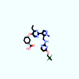 CCc1nc(-c2cnn(C)c2CNc2nccc(OCC(C)(F)F)n2)ncc1O[C@H]1CCC[C@H](C(=O)O)C1